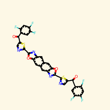 O=C(c1cnc(-c2nc3cc4cc5oc(-c6ncc(C(=O)c7cc(F)c(F)cc7F)s6)nc5cc4cc3o2)s1)c1cc(F)c(F)cc1F